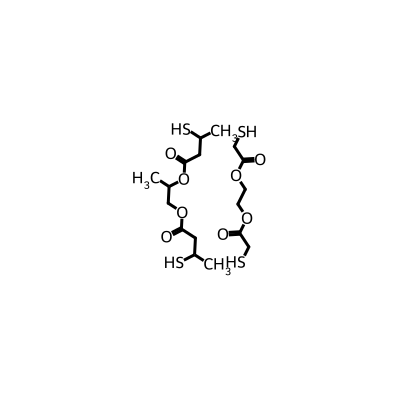 CC(S)CC(=O)OCC(C)OC(=O)CC(C)S.O=C(CS)OCCOC(=O)CS